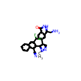 Cn1ncc(-c2ccc3c(=O)[nH]nc(CN)c3c2)c1-c1c(C(F)F)cc2ccccc2c1C#N